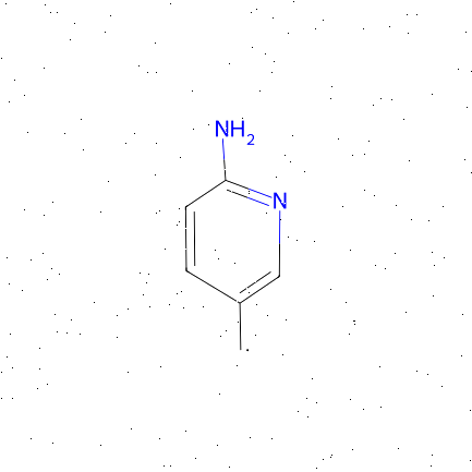 [CH2]c1ccc(N)nc1